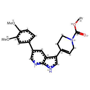 COc1ccc(-c2cnc3[nH]cc(C4=CCN(C(=O)OC(C)C)CC4)c3c2)cc1OC